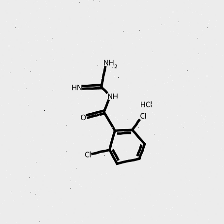 Cl.N=C(N)NC(=O)c1c(Cl)cccc1Cl